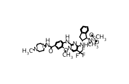 COc1cc(C(=O)NN2CCN(C)CC2)ccc1Nc1ncc(C(F)(F)F)c(N[C@@H]2Cc3ccccc3[C@H]2N(C)S(C)(=O)=O)n1